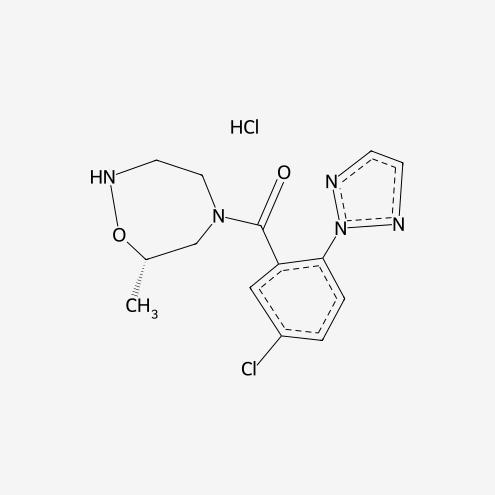 C[C@H]1CN(C(=O)c2cc(Cl)ccc2-n2nccn2)CCNO1.Cl